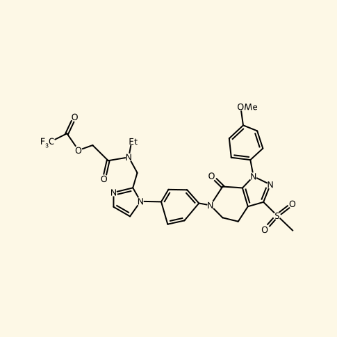 CCN(Cc1nccn1-c1ccc(N2CCc3c(S(C)(=O)=O)nn(-c4ccc(OC)cc4)c3C2=O)cc1)C(=O)COC(=O)C(F)(F)F